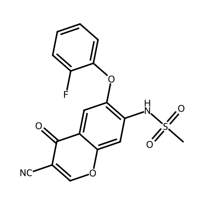 CS(=O)(=O)Nc1cc2occ(C#N)c(=O)c2cc1Oc1ccccc1F